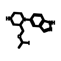 CC(I)OCC1CNCCN1c1ccc2[nH]ncc2c1